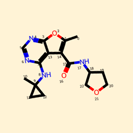 Cc1oc2ncnc(NC3(C)CC3)c2c1C(=O)NC1CCOC1